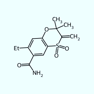 C=C1C(C)(C)Oc2cc(CC)c(C(N)=O)cc2S1(=O)=O